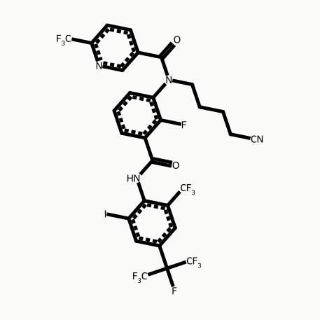 N#CCCCCN(C(=O)c1ccc(C(F)(F)F)nc1)c1cccc(C(=O)Nc2c(I)cc(C(F)(C(F)(F)F)C(F)(F)F)cc2C(F)(F)F)c1F